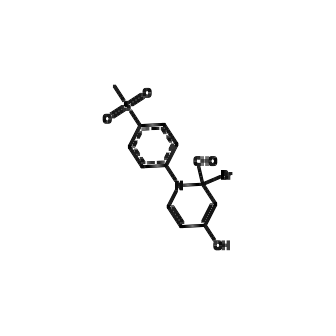 CS(=O)(=O)c1ccc(N2C=CC(O)=CC2(Br)C=O)cc1